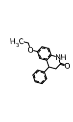 CCOc1ccc2c(c1)C(c1ccccc1)CC(=O)N2